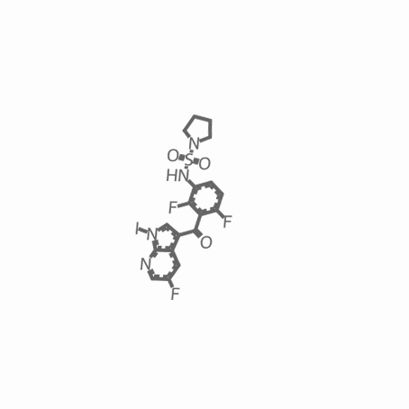 O=C(c1c(F)ccc(NS(=O)(=O)N2CCCC2)c1F)c1cn(I)c2ncc(F)cc12